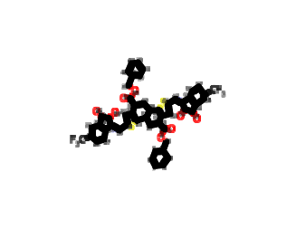 O=C(OCc1ccccc1)C1=CC2c3sc(/C=C4\C(=O)C(=O)c5cc(C(F)(F)F)ccc54)cc3C(C(=O)OCc3ccccc3)=CC2c2sc(/C=C3\C(=O)C(=O)c4cc(C(F)(F)F)ccc43)cc21